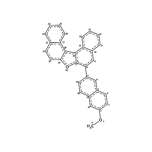 COc1ccc2cc(-c3cc4ccccc4c4c3oc3ccc5ccccc5c34)ccc2c1